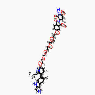 Cn1c2ccncc2c2ccc(-c3ccc(OCCOCCOCCOCCOCCOc4ccc5c(c4)C(=O)N(C4CCC(=O)NC4=O)C5=O)nc3C(F)(F)F)cc21